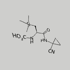 C[Si](C)(C)C[C@H](NC(=O)O)C(=O)NC1(C#N)CC1